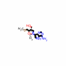 CSC[C@@H](O)[C@H](CO)CN(C)c1c[nH]c2c(N)ncnc12